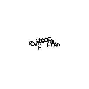 CCc1cc2cnc(NC(=O)[C@@H]3CC34CCOCC4)cc2cc1N1CCN([C@@]2(C)COC[C@H]2O)CC1